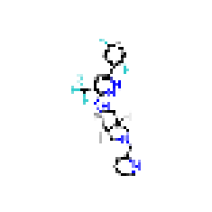 Fc1ccc(F)c(-c2cc(C(F)(F)F)c(N[C@H]3C[C@@H]4CN(Cc5ccccn5)C[C@@H]4C3)nn2)c1